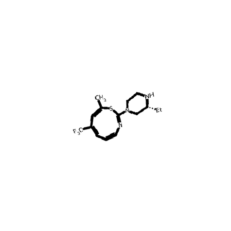 CC[C@@H]1CN(c2ncccc(C(F)(F)F)cc(C)s2)CCN1